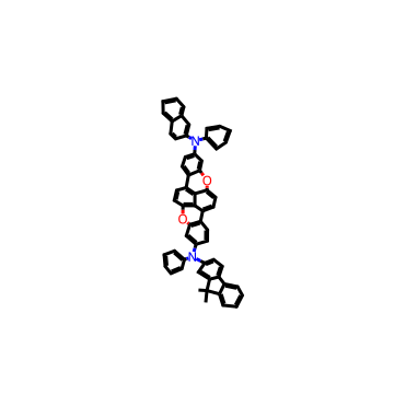 CC1(C)c2ccccc2-c2ccc(N(c3ccccc3)c3ccc4c(c3)Oc3ccc5c6c(ccc-4c36)Oc3cc(N(c4ccccc4)c4ccc6ccccc6c4)ccc3-5)cc21